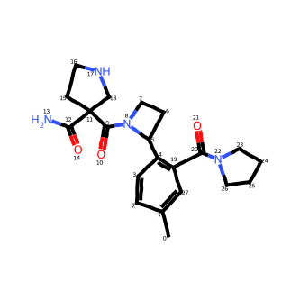 Cc1ccc(C2CCN2C(=O)C2(C(N)=O)CCNC2)c(C(=O)N2CCCC2)c1